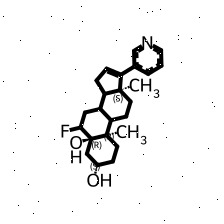 C[C@]12CCC3C(CC(F)[C@@]4(O)C[C@@H](O)CC[C@]34C)C1CC=C2c1cccnc1